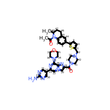 CC(=O)N1c2ccc(-c3ccc(CN4CCN(C(=O)c5cn6cc(-c7cnc(N)nc7)nc(N7CCOCC7)c6n5)CC4)s3)cc2CCC1C